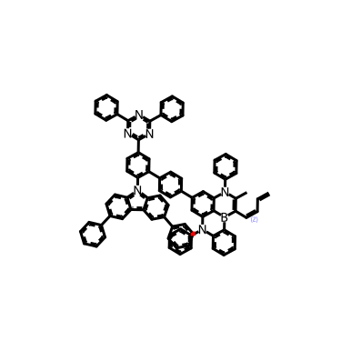 C=C/C=C\C1=C(C)N(c2ccccc2)c2cc(-c3ccc(-c4cc(-c5nc(-c6ccccc6)nc(-c6ccccc6)n5)ccc4-n4c5ccc(-c6ccccc6)cc5c5cc(-c6ccccc6)ccc54)cc3)cc3c2B1c1ccccc1N3c1ccccc1